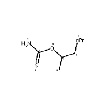 CCCCC(C)OC(N)=S